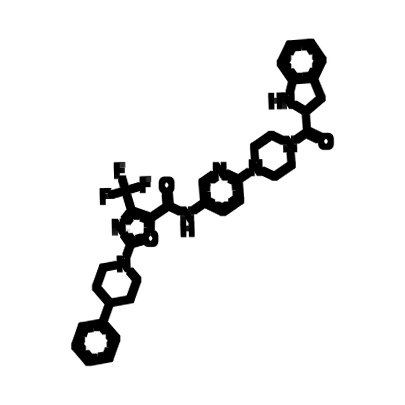 O=C(Nc1ccc(N2CCN(C(=O)C3Cc4ccccc4N3)CC2)nc1)c1oc(N2CCC(c3ccccc3)CC2)nc1C(F)(F)F